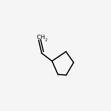 C=CC1[CH]CCC1